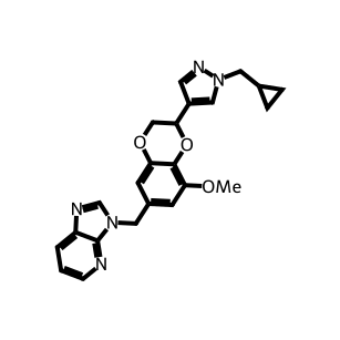 COc1cc(Cn2cnc3cccnc32)cc2c1OC(c1cnn(CC3CC3)c1)CO2